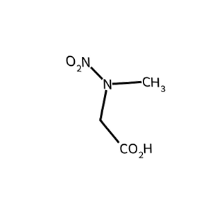 CN(CC(=O)O)[N+](=O)[O-]